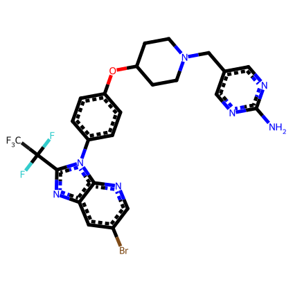 Nc1ncc(CN2CCC(Oc3ccc(-n4c(C(F)(F)C(F)(F)F)nc5cc(Br)cnc54)cc3)CC2)cn1